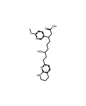 COc1ccc(C(CCCC(O)CCc2ccc3c(n2)NCCC3)CC(=O)O)cn1